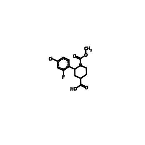 COC(=O)N1CCC(C(=O)O)CC1c1ccc(Cl)cc1F